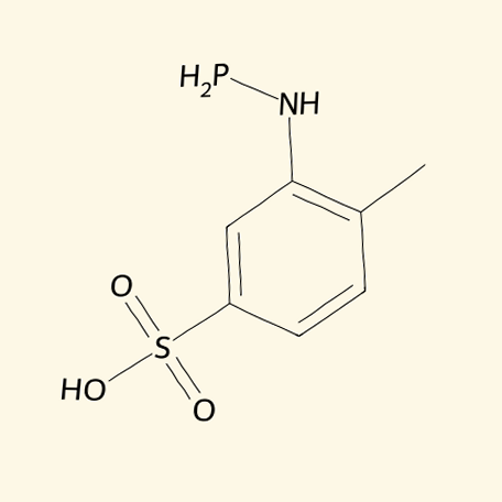 Cc1ccc(S(=O)(=O)O)cc1NP